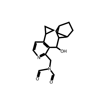 O=CN(C=O)Cc1nccc(C2CC2)c1C(O)C1CC2CCC1C2